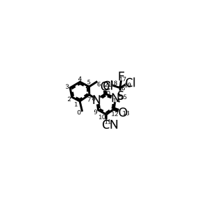 Cc1cccc(C)c1-n1cc(C#N)c(=O)n(SC(F)(Cl)Cl)c1=O